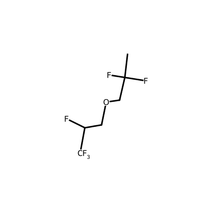 CC(F)(F)COCC(F)C(F)(F)F